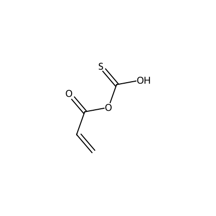 C=CC(=O)OC(O)=S